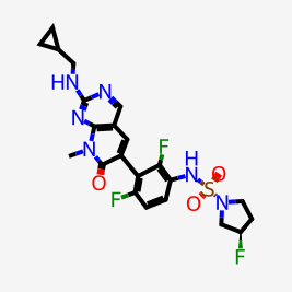 Cn1c(=O)c(-c2c(F)ccc(NS(=O)(=O)N3CC[C@@H](F)C3)c2F)cc2cnc(NCC3CC3)nc21